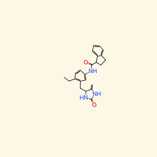 C=C1NC(=O)NC1Cc1cc(NC(=O)C2CCc3ccccc32)ccc1CC